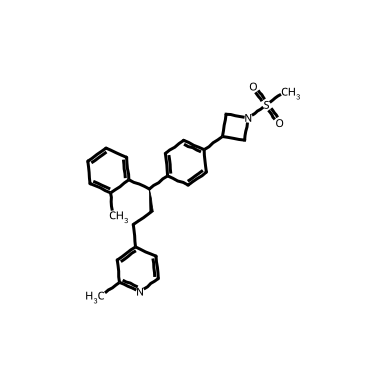 Cc1cc(CC[C@H](c2ccc(C3CN(S(C)(=O)=O)C3)cc2)c2ccccc2C)ccn1